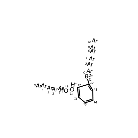 [Ar].[Ar].[Ar].[Ar].[Ar].[Ar].[Ar].[Ar].[Ar].[Ar].[Ar].[B+2]c1ccccc1.[OH-].[OH-]